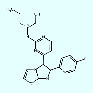 CCC[C@H](CO)Nc1nccc(C2C(c3ccc(F)cc3)N=C3OC=CN32)n1